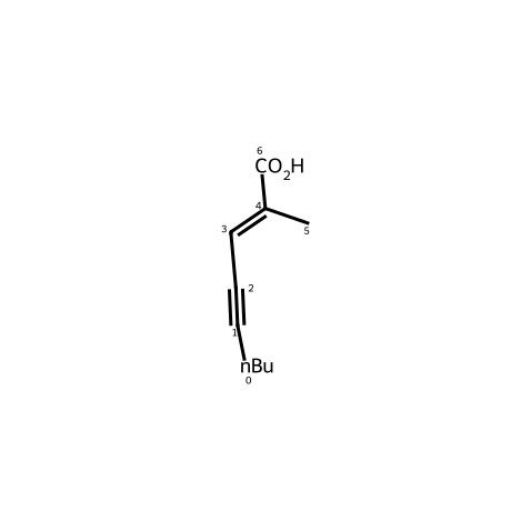 CCCCC#CC=C(C)C(=O)O